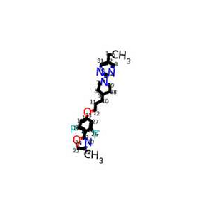 CCc1cnc(N2CCC(CCCOc3cc(F)c(C4=NC(C)CO4)c(F)c3)CC2)nc1